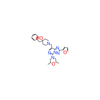 CC1CN(c2ncc(CN3CCC(O)(Cc4ccccc4)CC3)c3nc(-c4ccco4)nn23)CC(C)O1